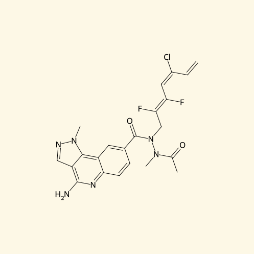 C=C/C(Cl)=C\C(F)=C(/F)CN(C(=O)c1ccc2nc(N)c3cnn(C)c3c2c1)N(C)C(C)=O